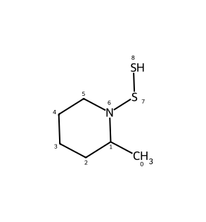 CC1CCCCN1SS